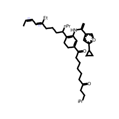 C=C(NC1=C(C(CCC)CCC/C(=C/C=C\C)CC)CCC(C(=O)CCCCCC(=O)CCC(C)C)=C1)c1coc(C2CC2)c1